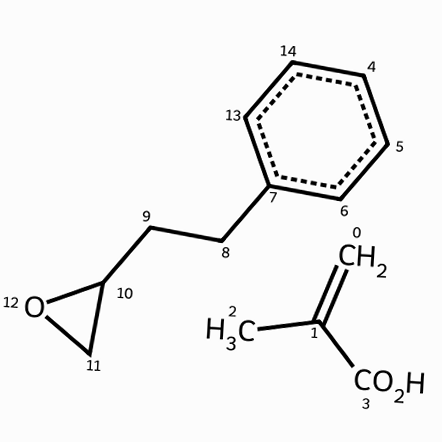 C=C(C)C(=O)O.c1ccc(CCC2CO2)cc1